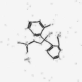 CCc1ccccc1C(C#N)(CCN(C)C)c1ccccc1F.Cl